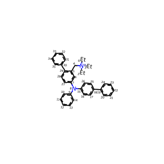 CC[N+](CC)(CC)Cc1cc(N(c2ccccc2)c2ccc(-c3ccccc3)cc2)ccc1-c1ccccc1